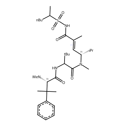 CCCCC(C)S(=O)(=O)NC(=O)/C(C)=C/[C@H](C(C)C)N(C)C(=O)C(NC(=O)[C@@H](NC)C(C)(C)c1ccccc1)C(C)(C)C